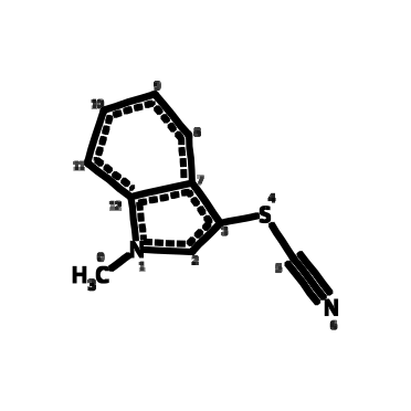 Cn1cc(SC#N)c2ccccc21